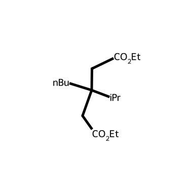 CCCCC(CC(=O)OCC)(CC(=O)OCC)C(C)C